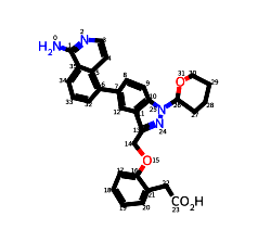 Nc1nccc2c(-c3ccc4c(c3)c(COc3ccccc3CC(=O)O)nn4C3CCCCO3)cccc12